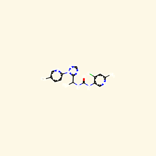 CC(NC(=O)Nc1cnc(C(F)(F)F)cc1Cl)c1ncnn1-c1ccc(C#N)cn1